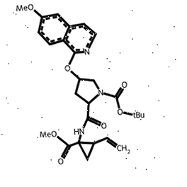 C=CC1CC1(NC(=O)C1CC(Oc2nccc3cc(OC)ccc23)CN1C(=O)OC(C)(C)C)C(=O)OC